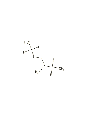 CC(F)(F)OCC(N)C(C)(F)F